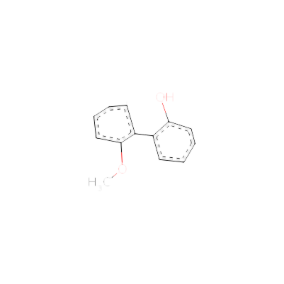 COc1ccc[c]c1-c1ccccc1O